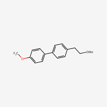 COCCc1ccc(-c2ccc(OC(F)(F)F)cc2)cc1